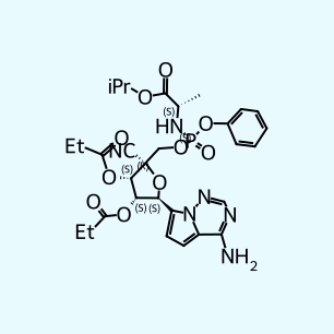 CCC(=O)O[C@H]1[C@H](c2ccc3c(N)ncnn23)O[C@](C#N)(CO[P@@](=O)(N[C@@H](C)C(=O)OC(C)C)Oc2ccccc2)[C@H]1OC(=O)CC